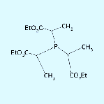 CCOC(=O)C(C)P(C(C)C(=O)OCC)C(C)C(=O)OCC